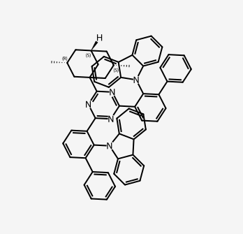 C[C@@H]1C[C@@H]2C[C@H](C)CC(c3nc(-c4cccc(-c5ccccc5)c4-n4c5ccccc5c5ccccc54)nc(-c4cccc(-c5ccccc5)c4-n4c5ccccc5c5ccccc54)n3)(C1)C2